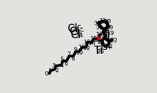 CCCCCCCCCCCCCCCCCC[Si](C)(C1=C(C)C[C]([Ti+3])=C1C)c1ccccc1.[Cl-].[Cl-].[Cl-]